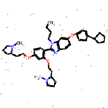 CCCCn1c(-c2ccc(OCCC3CCCN3C)cc2OCCC2CCCN2C)nc2ccc(Oc3ccc(C4CCCC4)cc3)cc21